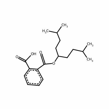 CC(C)CCC(CCC(C)C)OC(=O)c1ccccc1C(=O)O